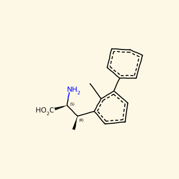 Cc1c(-c2ccccc2)cccc1[C@@H](C)[C@H](N)C(=O)O